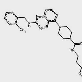 CCOCCCNC(=O)C1CCN(c2nccc3nc(NCc4ccccc4C)ncc23)CC1